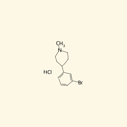 CN1CCC(c2cccc(Br)c2)CC1.Cl